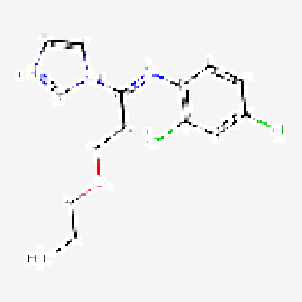 CCCOCCC(=Nc1ccc(Cl)cc1Cl)n1ccnc1